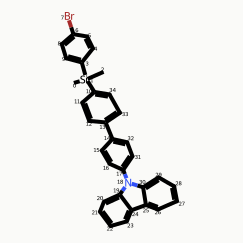 C[Si](C)(c1ccc(Br)cc1)c1ccc(-c2ccc(-n3c4ccccc4c4ccccc43)cc2)cc1